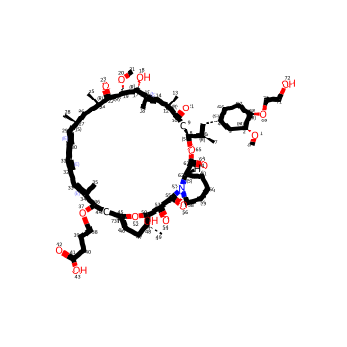 CO[C@@H]1C[C@H](C[C@@H](C)[C@@H]2CC(=O)[C@H](C)/C=C(\C)[C@@H](O)[C@@H](OC)C(=O)[C@H](C)C[C@H](C)/C=C/C=C/C=C(\C)C(OCCCC(=O)O)C[C@@H]3CC[C@@H](C)[C@@](O)(O3)C(=O)C(=O)N3CCCC[C@H]3C(=O)O2)CC[C@H]1OCCO